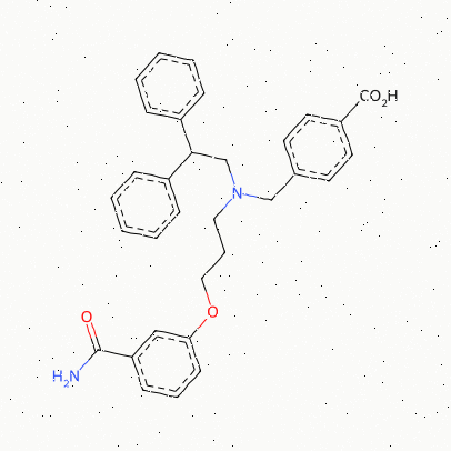 NC(=O)c1cccc(OCCCN(Cc2ccc(C(=O)O)cc2)CC(c2ccccc2)c2ccccc2)c1